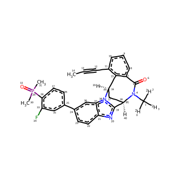 [2H]C([2H])([2H])N1C(=O)c2cccc(C#CC)c2[C@H]2C[C@@H]1c1nc3ccc(-c4ccc(P(C)(C)=O)c(F)c4)cc3n12